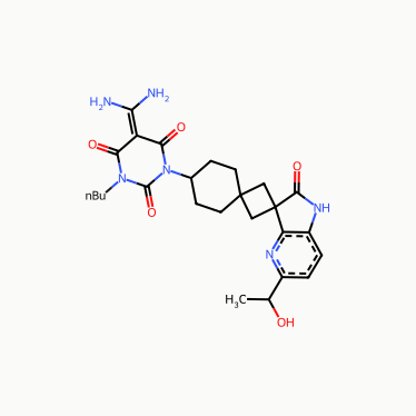 CCCCN1C(=O)C(=C(N)N)C(=O)N(C2CCC3(CC2)CC2(C3)C(=O)Nc3ccc(C(C)O)nc32)C1=O